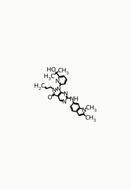 C=CCn1c(=O)c2cnc(Nc3ccc4cc(C)n(C)c4c3)nc2n1-c1cccc(C(C)(C)O)n1